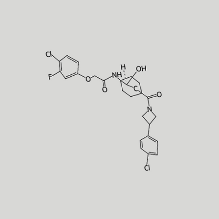 O=C(COc1ccc(Cl)c(F)c1)NC12CCC(C(=O)N3CC(c4ccc(Cl)cc4)C3)(CC1)C[C@@H]2O